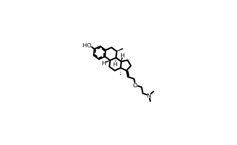 C[C@@H]1Cc2cc(O)ccc2[C@H]2CC[C@]3(C)/C(=C/COCCN(C)C)CC[C@H]3[C@H]12